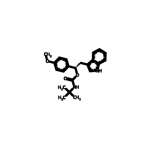 COc1ccc([C@H](Cc2c[nH]c3ccccc23)OC(=O)NC(C)(C)C)cc1